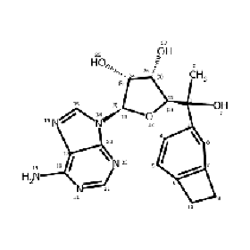 CC(O)(c1ccc2c(c1)CC2)[C@H]1O[C@@H](n2cnc3c(N)ncnc32)[C@H](O)[C@@H]1O